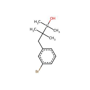 CC(C)(Cc1cccc(Br)c1)[Si](C)(C)O